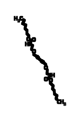 CCCCCCCCOC(=O)NCCOCC#CC#CCOCCNC(=O)OCCCCCCCC